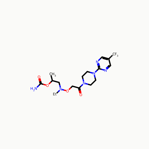 CCN(CC(C)OC(N)=O)OCC(=O)N1CCN(c2ncc(C(F)(F)F)cn2)CC1